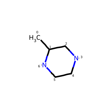 CC1C[N]CC[N]1